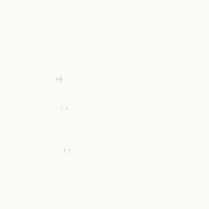 C=C/C=C(\C=C/C)C1(CC(O)CC=C)OCCO1